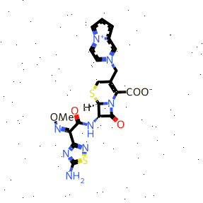 CO/N=C(\C(=O)N[C@@H]1C(=O)N2C(C(=O)[O-])=C(Cn3cc[n+]4cccc-4c3)CS[C@H]12)c1nsc(N)n1